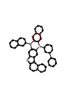 c1ccc(-c2cccc(N(c3ccc4ccccc4c3)c3cc4c(cc3N(c3ccccc3)c3ccc5ccccc5c3)sc3ccc5ccccc5c34)c2)cc1